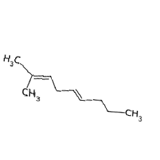 CCCC=CCC=C(C)C